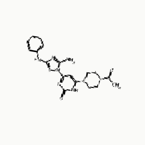 CC(=O)N1CCN(c2cc(-n3nc(Nc4ccccc4)nc3N)nc(=O)[nH]2)CC1